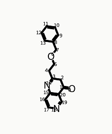 O=C1CC(CCOCc2ccccc2)=Nc2ccncc21